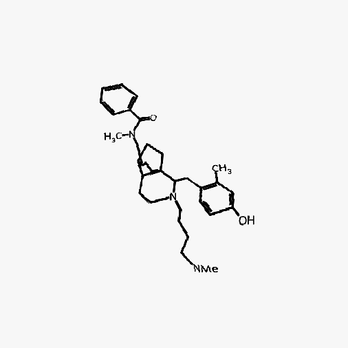 CNCCCCN1CCC2C3CCC2(CCC3N(C)C(=O)c2ccccc2)C1Cc1ccc(O)cc1C